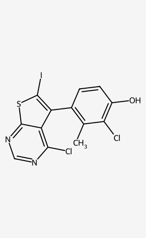 Cc1c(-c2c(I)sc3ncnc(Cl)c23)ccc(O)c1Cl